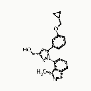 Cn1ncc2cccc(-n3nc(CO)cc3-c3cccc(OCC4CC4)c3)c21